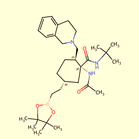 CC(=O)N[C@]1(C(=O)NC(C)(C)C)C[C@H](CCB2OC(C)(C)C(C)(C)O2)CC[C@H]1CN1CCc2ccccc2C1